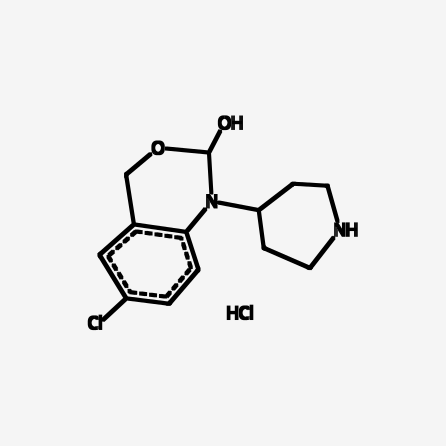 Cl.OC1OCc2cc(Cl)ccc2N1C1CCNCC1